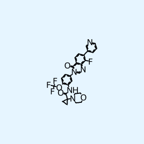 O=C(Nc1cc(-n2cnc3c(F)c(-c4cccnc4)ccc3c2=O)ccc1OC(F)(F)F)C1(N2CCOCC2)CC1